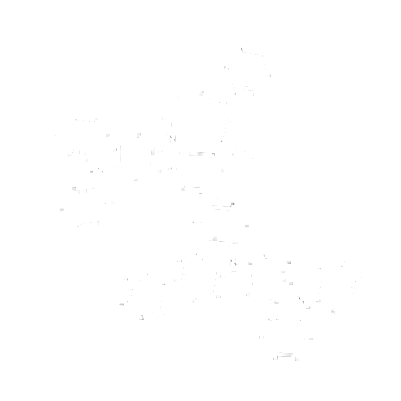 C=C1/C=C(c2ccccc2)\C=C/CN(c2ccc3c(c2)c2ccccc2n3-c2ccccc2)c2ccc(-c3ccc4c(c3)c3cc(-c5ccccc5)ccc3n4-c3ccc4c(c3)c3ccccc3n4-c3ccccc3)cc21